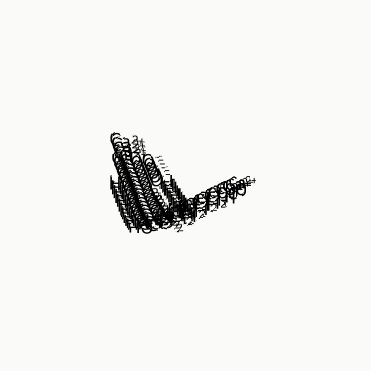 O=C(O)O.O=C(O)O.O=C(O)O.O=C(O)O.O=C(O)O.O=C(O)O.O=C(O)O.O=C(O)O.O=C(O)O.O=C(O)O.O=C(O)O.O=C(O)O.O=C(O)O.O=C(O)O.O=C(O)O.O=C(O)O.O=C([O-])[O-].O=C([O-])[O-].O=C([O-])[O-].O=C([O-])[O-].O=C([O-])[O-].O=C([O-])[O-].O=C([O-])[O-].O=C([O-])[O-].[Ca+2].[Ca+2].[Ca+2].[Ca+2].[Ca+2].[Ca+2].[Ca+2].[Ca+2]